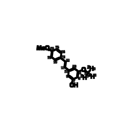 [2H]C([2H])([2H])Oc1cc(O)cc(/C=C/c2ccc(OC)cc2)c1